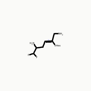 CCCCCC/C(=C\CC(N)C(F)F)CN